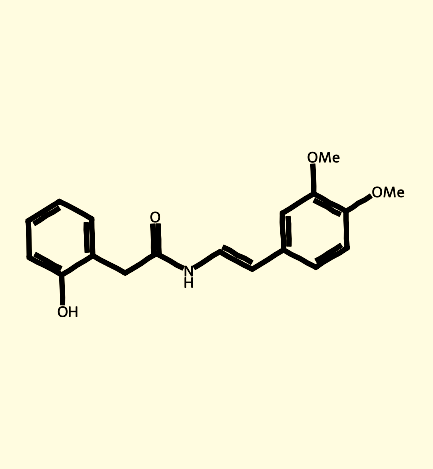 COc1ccc(C=CNC(=O)Cc2ccccc2O)cc1OC